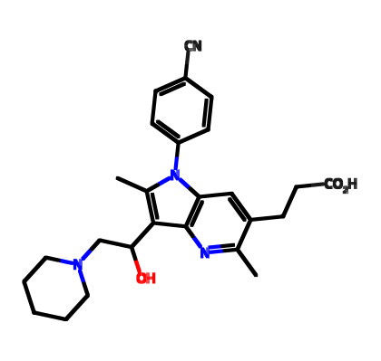 Cc1nc2c(C(O)CN3CCCCC3)c(C)n(-c3ccc(C#N)cc3)c2cc1CCC(=O)O